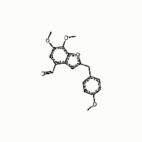 COc1ccc(Cc2cc3c(C=O)cc(OC)c(OC)c3o2)cc1